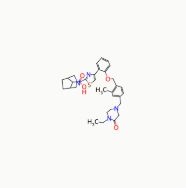 CCN1CCN(Cc2ccc(COc3ccccc3-c3csc(N4CC5CCC(C4)C5C(=O)O)n3)c(C)c2)CC1=O